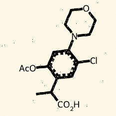 CC(=O)Oc1cc(N2CCOCC2)c(Cl)cc1C(C)C(=O)O